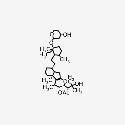 CC(=O)O[C@@H]([C@H]1C[C@@H](C)C2=C(CC3[C@H](CCC4C(C)CC[C@H](OC5C[C@@H](O)CCO5)C4(C)C)CCC[C@]23C)O1)C(C)(C)O